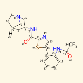 O=C(N[C@@H]1C[C@H]2CCN(C2)C1)c1ncc(-c2ccccc2NC(=O)C(F)(F)F)s1